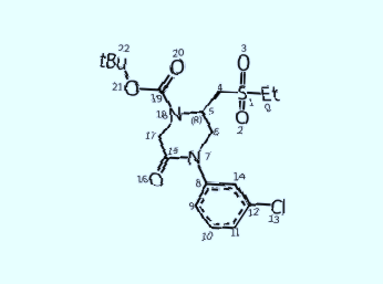 CCS(=O)(=O)C[C@H]1CN(c2cccc(Cl)c2)C(=O)CN1C(=O)OC(C)(C)C